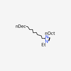 CCCCCCCCCCCCCCCCCCC1N(CC)C=CN1CCCCCCCC